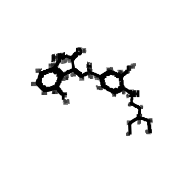 CCN(CC)CCNc1ccc(NC=C2C(=O)Nc3cccc(F)c32)cc1F